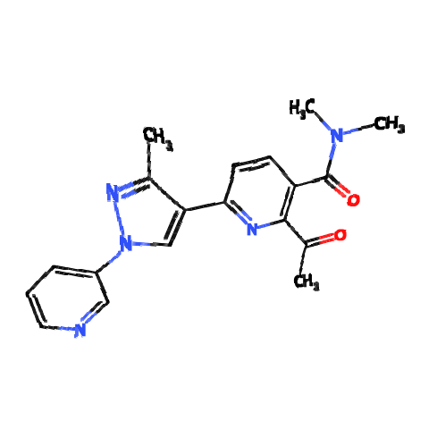 CC(=O)c1nc(-c2cn(-c3cccnc3)nc2C)ccc1C(=O)N(C)C